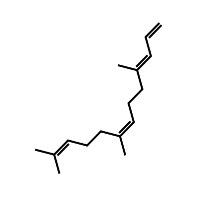 C=C/C=C(\C)CCC=C(C)CCC=C(C)C